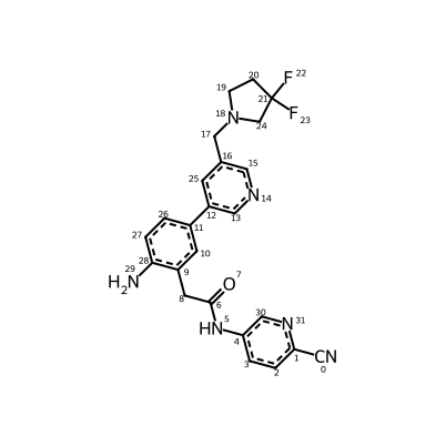 N#Cc1ccc(NC(=O)Cc2cc(-c3cncc(CN4CCC(F)(F)C4)c3)ccc2N)cn1